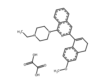 CCN1CCN(c2nc(C3=CCCc4cc(OC)ccc43)cc3ccccc23)CC1.O=C(O)C(=O)O